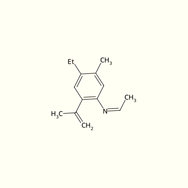 C=C(C)c1cc(CC)c(C)cc1/N=C\C